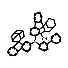 CCC1CC2CCCC(C2)C12c1ccccc1-c1ccc(N(c3cccc(-c4ccccc4)c3)c3ccc4c(c3)C3(c5ccccc5-4)C4CC5CC(C4)CC3C5)cc12